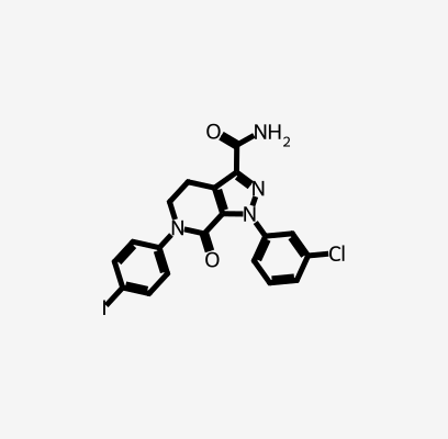 NC(=O)c1nn(-c2cccc(Cl)c2)c2c1CCN(c1ccc(I)cc1)C2=O